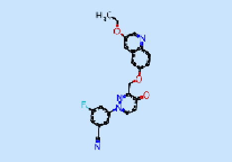 CCOc1cnc2ccc(OCc3nn(-c4cc(F)cc(C#N)c4)ccc3=O)cc2c1